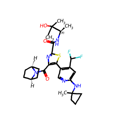 C[C@@H](NC(=O)c1nc(C(=O)N2[C@H]3CC[C@@H]2CC3)c(-c2cnc(NC3(C)CCC3)cc2C(F)F)s1)C(C)(C)O